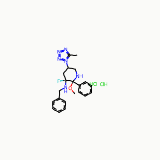 CO[C@]1(c2ccccc2)NCC(n2nnnc2C)C[C@@]1(F)NCc1ccccc1.Cl.Cl